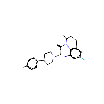 C=C(CN1CCC(c2ccc(C#N)cc2)CC1)N1c2c(N)cc(F)cc2CCC1C